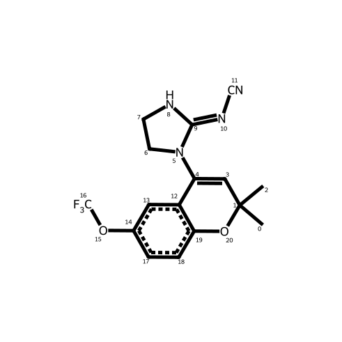 CC1(C)C=C(N2CCNC2=NC#N)c2cc(OC(F)(F)F)ccc2O1